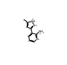 Cc1cc(-c2cccnc2N)n[nH]1